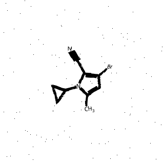 Cc1cc(Br)c(C#N)n1C1CC1